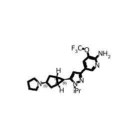 CC(C)n1nc(-c2cnc(N)c(OC(F)(F)F)c2)cc1[C@H]1[C@@H]2C[C@@H](N3CCCC3)C[C@@H]21